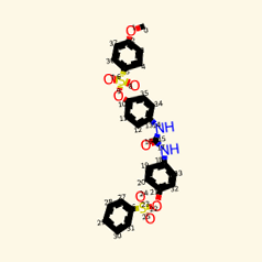 COc1ccc(S(=O)(=O)Oc2ccc(NC(=O)Nc3ccc(OS(=O)(=O)c4ccccc4)cc3)cc2)cc1